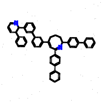 C1=CC(c2cccc(C3N=CC=CC3c3ccccc3)c2)CC(/C2=C/C(c3ccc(C4=CCCC=C4)cc3)=N\C(c3ccc(-c4ccccc4)cc3)CCC2)=C1